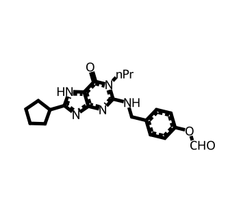 CCCn1c(NCc2ccc(OC=O)cc2)nc2nc(C3CCCC3)[nH]c2c1=O